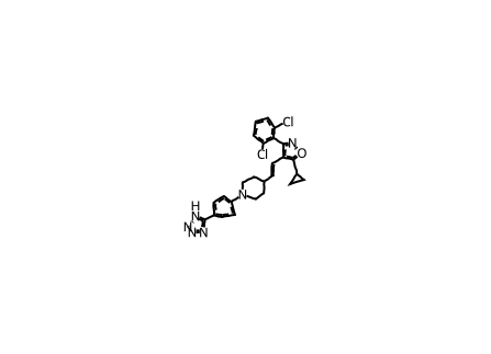 Clc1cccc(Cl)c1-c1noc(C2CC2)c1/C=C/C1CCN(c2ccc(-c3nnn[nH]3)cc2)CC1